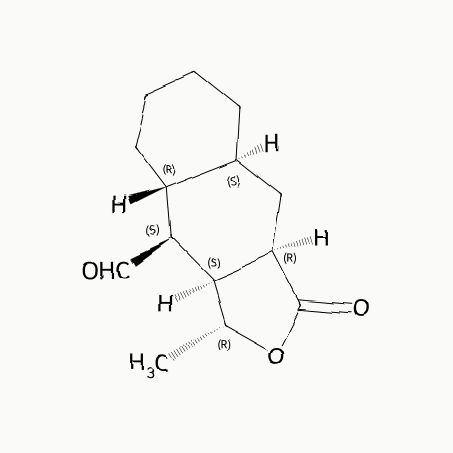 C[C@H]1OC(=O)[C@@H]2C[C@@H]3CCCC[C@H]3[C@H](C=O)[C@H]12